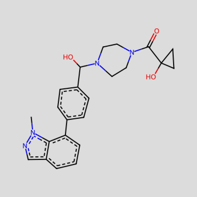 Cn1ncc2cccc(-c3ccc(C(O)N4CCN(C(=O)C5(O)CC5)CC4)cc3)c21